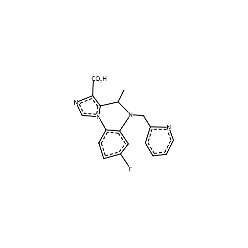 CC1c2c(C(=O)O)ncn2-c2ccc(F)cc2N1Cc1ccccn1